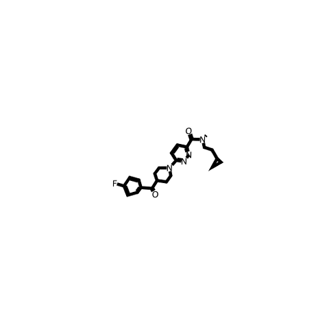 CN(CCC1CC1)C(=O)c1ccc(N2CCC(C(=O)c3ccc(F)cc3)CC2)nn1